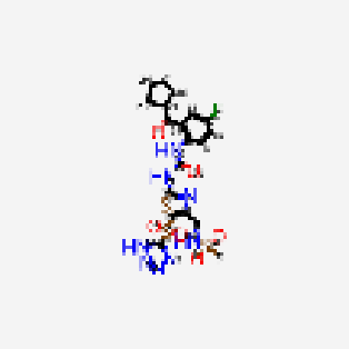 CS(=O)(=O)NCc1nc(NC(=O)Nc2ccc(F)cc2C(=O)C2CCCC2)sc1S(=O)(=O)c1nnn[nH]1